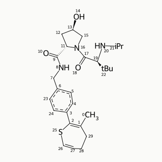 CC1=C(c2ccc(CNC(=O)[C@@H]3C[C@@H](O)CN3C(=O)[C@@H](NC(C)C)C(C)(C)C)cc2)SC=CCC1